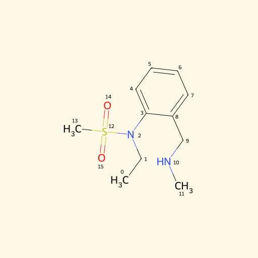 CCN(c1ccccc1CNC)S(C)(=O)=O